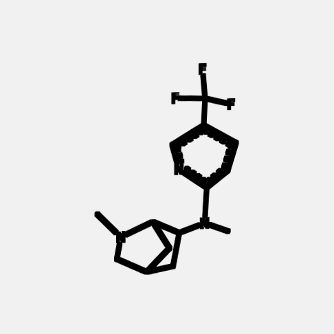 CN1CC2CC1C(N(C)c1ccc(C(F)(F)F)cn1)C2